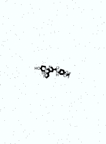 O=C(Nc1ccc(OC(F)(F)Cl)cc1)c1cnc(N2CCC(O)CC2)c(-c2ccn[nH]2)c1